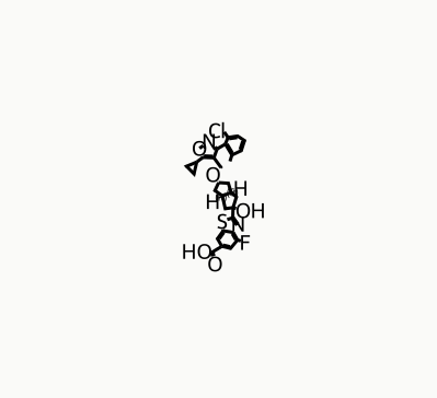 Cc1cccc(Cl)c1-c1noc(C2CC2)c1COC1C[C@@H]2CC(O)(c3nc4c(F)cc(C(=O)O)cc4s3)C[C@@H]2C1